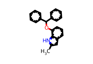 Cc1cc2cccc(OC(c3ccccc3)c3ccccc3)c2[nH]1